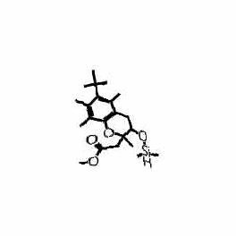 COC(=O)CC1(C)Oc2c(C)c(C)c(C(C)(C)C)c(C)c2CC1O[SiH](C)C